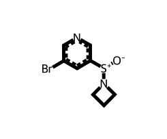 [O-][S+](c1cncc(Br)c1)N1CCC1